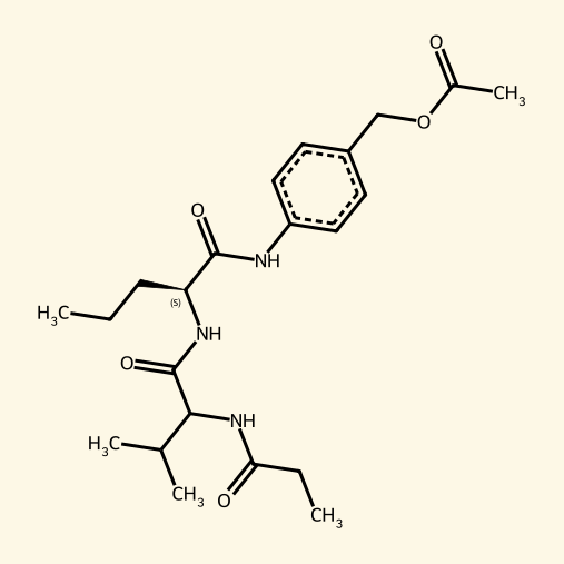 CCC[C@H](NC(=O)C(NC(=O)CC)C(C)C)C(=O)Nc1ccc(COC(C)=O)cc1